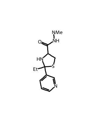 CCC1(c2cccnc2)NC(C(=O)NNC)CS1